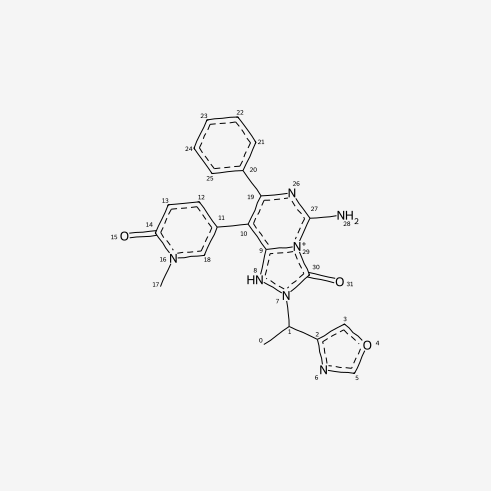 CC(c1cocn1)n1[nH]c2c(-c3ccc(=O)n(C)c3)c(-c3ccccc3)nc(N)[n+]2c1=O